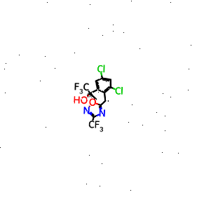 C[C@](O)(c1cc(Cl)cc(Cl)c1[CH]c1nc(C(F)(F)F)no1)C(F)(F)F